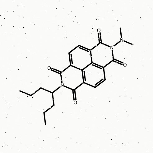 CCCC(CCC)N1C(=O)c2ccc3c4c(ccc(c24)C1=O)C(=O)N(N(C)C)C3=O